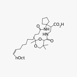 CCCCCCCC/C=C\CCCCCCCC(=O)NC1(C(CNC(=O)C2OC(C)(C)OCC2(C)C)C(=O)O)CCCC1